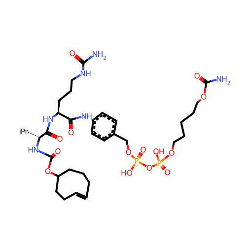 CC(C)[C@@H](NC(=O)OC1CC/C=C/CCC1)C(=O)N[C@@H](CCCNC(N)=O)C(=O)Nc1ccc(COP(=O)(O)OP(=O)(O)OCCCCCOC(N)=O)cc1